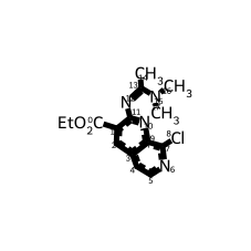 CCOC(=O)c1cc2ccnc(Cl)c2nc1N=C(C)N(C)C